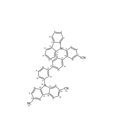 N#Cc1ccc(-n2c3ccccc3c3ccccc32)c(-c2ccc(-c3cccc(-n4c5ccc(C#N)cc5c5ccc(C#N)cc54)c3)cc2)c1